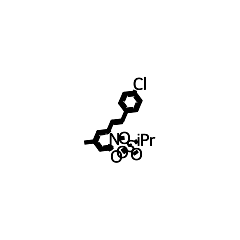 Cc1cc(C=Cc2ccc(Cl)cc2)n(OS(=O)(=O)C(C)C)c(=O)c1